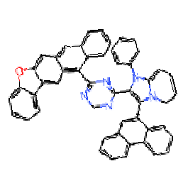 C1=CCN2C(=C1)N(c1ccccc1)C(c1ncnc(-c3c4ccccc4cc4cc5oc6ccccc6c5cc34)n1)=C2c1cc2ccccc2c2ccccc12